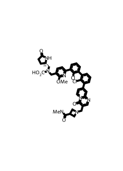 CNC(=O)C1CN(Cc2cnc3cc(-c4cccc(-c5cccc(-c6ccc(CN(C[C@@H]7CCC(=O)N7)C(=O)O)c(OC)n6)c5Cl)c4Cl)ccn3c2=O)C1